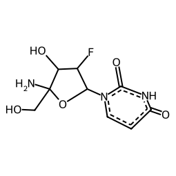 NC1(CO)OC(n2ccc(=O)[nH]c2=O)C(F)C1O